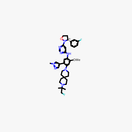 COc1cc(N2CCC3(CC2)CCN(C(C)(C)CF)CC3)c(-c2cnn(C)c2)cc1Nc1cc(N2OCC[C@@H]2c2cccc(F)c2)ncn1